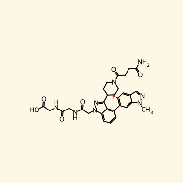 Cn1ncc2cc(F)c(-c3cccc4c3c(C3CCN(C(=O)CCC(N)=O)CC3)nn4CC(=O)NCC(=O)NCC(=O)O)cc21